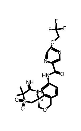 CC1(C)C(=N)N[C@@]2(COCc3ccc(NC(=O)c4cnc(OCC(F)(F)F)cn4)cc32)CS1(=O)=O